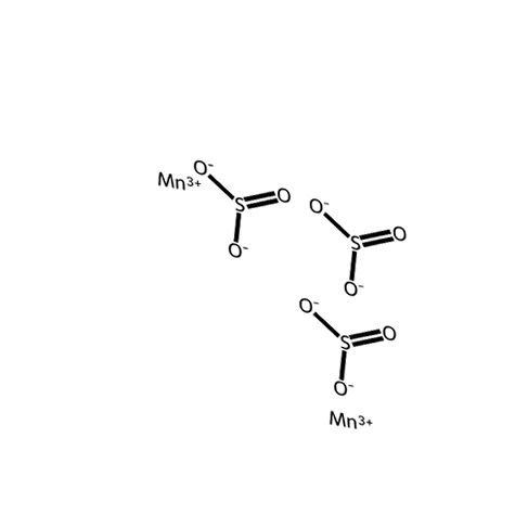 O=S([O-])[O-].O=S([O-])[O-].O=S([O-])[O-].[Mn+3].[Mn+3]